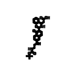 CC(C)(C)OC(=O)NCCNc1ccn2c(=O)c(C(=O)NC(CC(=O)O)c3ccccc3)ccc2c1